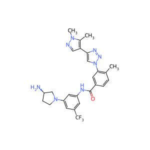 Cc1ccc(C(=O)Nc2cc(N3CC[C@@H](N)C3)cc(C(F)(F)F)c2)cc1-n1cc(-c2cnn(C)c2C)nn1